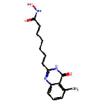 Cc1cccc2nc(CCCCCCC(=O)NO)[nH]c(=O)c12